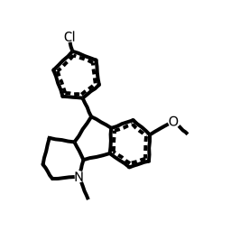 COc1ccc2c(c1)C(c1ccc(Cl)cc1)C1CCCN(C)C21